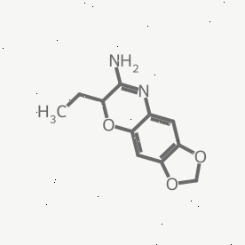 CCC1Oc2cc3c(cc2N=C1N)OCO3